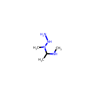 CNC(C)N(C)NN